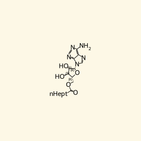 CCCCCCCC(=O)OC[C@H]1O[C@@H](n2cnc3c(N)ncnc32)[C@@H](O)[C@@H]1O